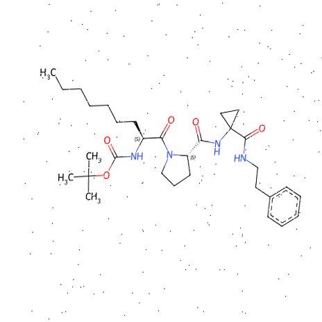 CCCCCCC[C@H](NC(=O)OC(C)(C)C)C(=O)N1CCC[C@H]1C(=O)NC1(C(=O)NCCc2ccccc2)CC1